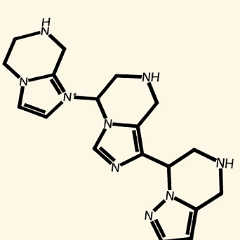 c1cc2n(n1)C(c1ncn3c1CNCC3[n+]1ccn3c1CNCC3)CNC2